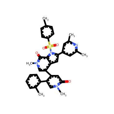 Cc1ccc(S(=O)(=O)n2c(-c3cc(C)nc(C)c3)cc3c(-c4cc(=O)n(C)cc4-c4ccccc4C)cn(C)c(=O)c32)cc1